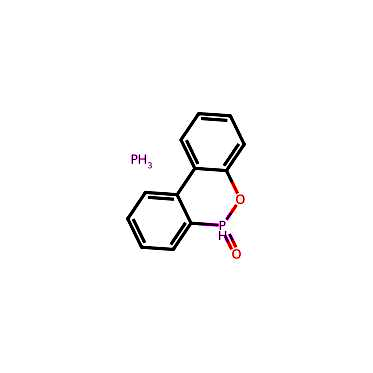 O=[PH]1Oc2ccccc2-c2ccccc21.P